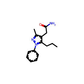 CCCc1c(CC(N)=O)c(C)nn1-c1ccccc1